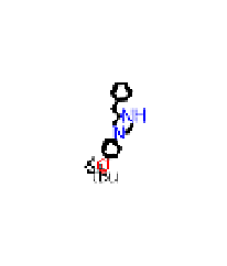 CC(C)(C)[Si](C)(C)Oc1ccc(N2CCNC(Cc3ccccc3)C2)cc1